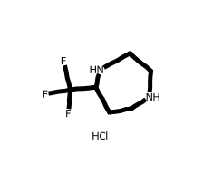 Cl.FC(F)(F)C1CCNCCN1